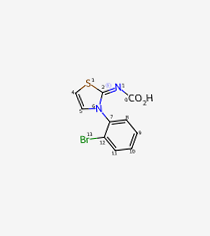 O=C(O)/N=c1/sccn1-c1ccccc1Br